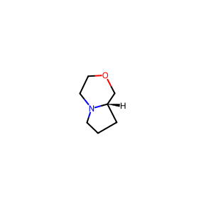 C1C[C@H]2COCCN2C1